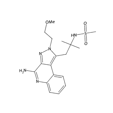 COCCn1nc2c(N)nc3ccccc3c2c1CC(C)(C)NS(C)(=O)=O